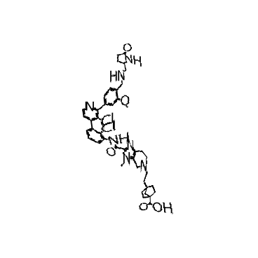 COc1cc(-c2nccc(-c3cccc(NC(=O)c4nc5c(n4C)CN(CCC46CCC(C(=O)O)(CC4)C6)CC5)c3Cl)c2Cl)ccc1CNC[C@H]1CCC(=O)N1